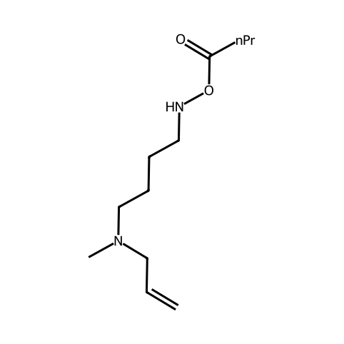 C=CCN(C)CCCCNOC(=O)CCC